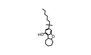 CCCCCCC(C)(C)c1cc(O)c2c(c1)OC1CCCCCC21